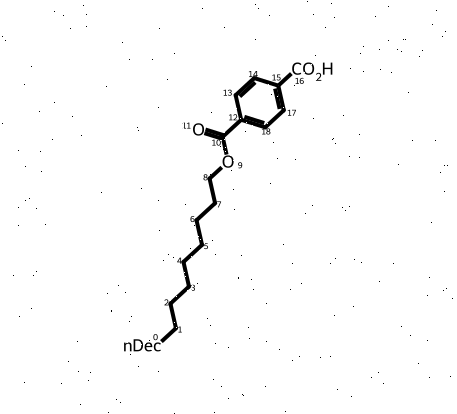 CCCCCCCCCCCCCCCCCCOC(=O)c1ccc(C(=O)O)cc1